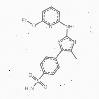 CCOc1cccc(Nc2nc(C)c(-c3ccc(S(N)(=O)=O)cc3)s2)n1